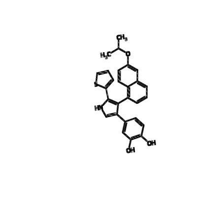 CC(C)Oc1ccc2c(-c3c(-c4ccc(O)c(O)c4)c[nH]c3-c3cccs3)cccc2c1